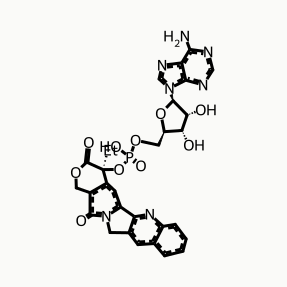 CC[C@@]1(OP(=O)(O)OC[C@H]2O[C@@H](n3cnc4c(N)ncnc43)[C@H](O)[C@@H]2O)C(=O)OCc2c1cc1n(c2=O)Cc2cc3ccccc3nc2-1